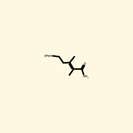 CCCCCCC/C(C)=C(\C)C(N)=O